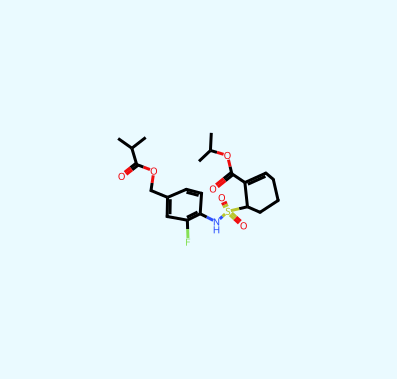 CC(C)OC(=O)C1=CCCCC1S(=O)(=O)Nc1ccc(COC(=O)C(C)C)cc1F